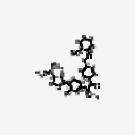 CN(C(=O)c1ccc(COc2ccccc2C#N)cc1)c1ccc(N2CCC(N(C)C)C2)c(F)c1